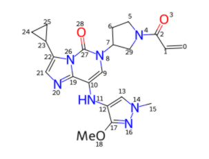 C=CC(=O)N1CCC(n2cc(Nc3cn(C)nc3OC)c3ncc(C4CC4)n3c2=O)C1